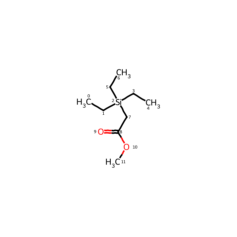 CC[Si](CC)(CC)CC(=O)OC